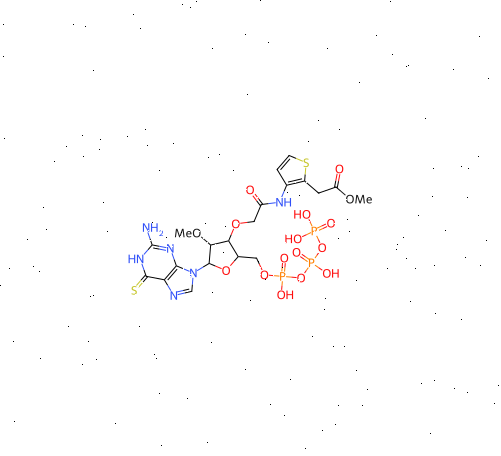 COC(=O)Cc1sccc1NC(=O)COC1C(COP(=O)(O)OP(=O)(O)OP(=O)(O)O)OC(n2cnc3c(=S)[nH]c(N)nc32)C1OC